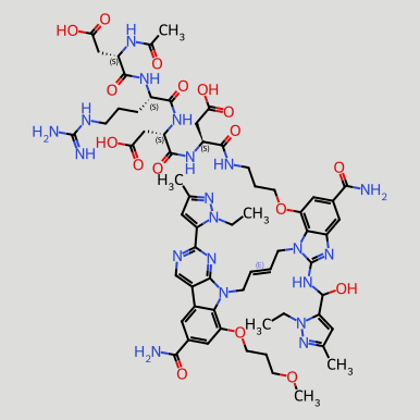 CCn1nc(C)cc1-c1ncc2c3cc(C(N)=O)cc(OCCCOC)c3n(C/C=C/Cn3c(NC(O)c4cc(C)nn4CC)nc4cc(C(N)=O)cc(OCCCNC(=O)[C@H](CC(=O)O)NC(=O)[C@H](CC(=O)O)NC(=O)[C@H](CCCNC(=N)N)NC(=O)[C@H](CC(=O)O)NC(C)=O)c43)c2n1